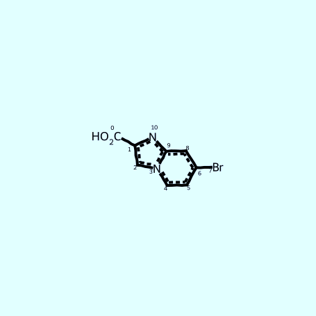 O=C(O)c1cn2ccc(Br)cc2n1